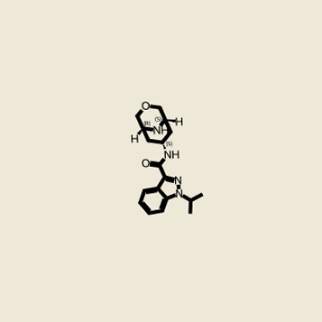 CC(C)n1nc(C(=O)N[C@H]2C[C@H]3COC[C@@H](C2)N3)c2ccccc21